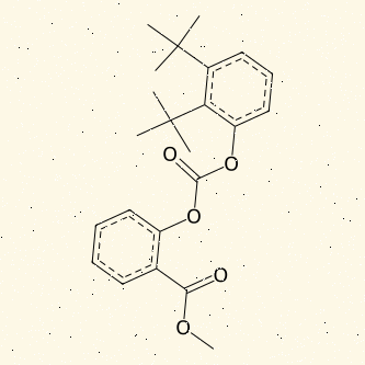 COC(=O)c1ccccc1OC(=O)Oc1cccc(C(C)(C)C)c1C(C)(C)C